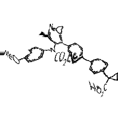 CCOC(=O)N(c1ccc(OC)cc1)c1c(C)noc1-c1ccc(-c2ccc(C3(C(=O)O)CC3)cc2)cc1